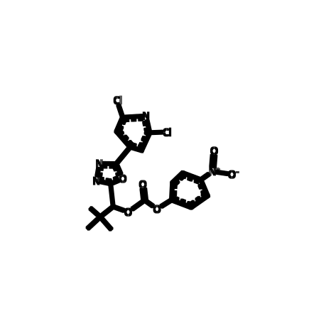 CC(C)(C)C(OC(=O)Oc1ccc([N+](=O)[O-])cc1)c1nnc(-c2cc(Cl)nc(Cl)c2)o1